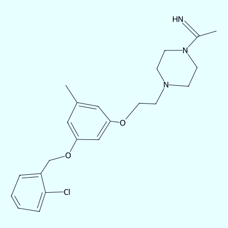 CC(=N)N1CCN(CCOc2cc(C)cc(OCc3ccccc3Cl)c2)CC1